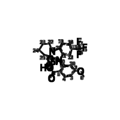 COc1ccc(C(=O)O)c(N(c2cc(C(F)(F)F)ccc2N2CCCCC2)[SH](=O)=O)c1